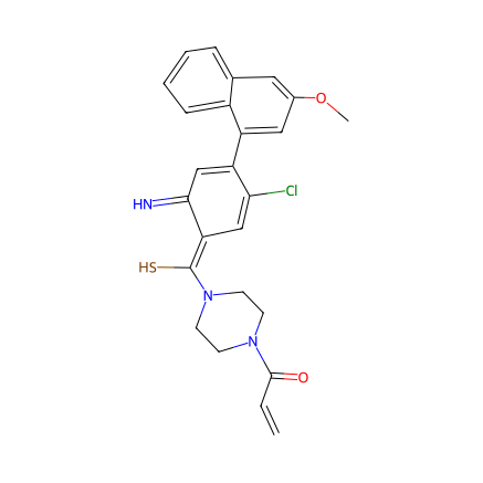 C=CC(=O)N1CCN(/C(S)=C2\C=C(Cl)C(c3cc(OC)cc4ccccc34)=CC2=N)CC1